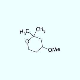 COC1CCOC(C)(C)C1